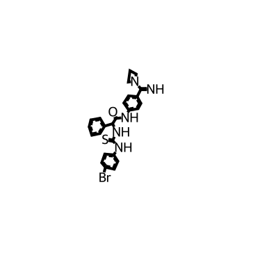 N=C(c1ccc(NC(=O)C(NC(=S)Nc2ccc(Br)cc2)c2ccccc2)cc1)N1CCC1